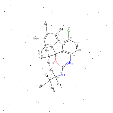 [2H]c1c([2H])c([2H])c(C2(C([2H])([2H])[2H])OC(NC([2H])([2H])C([2H])([2H])[2H])=Nc3ccc(Cl)cc32)c([2H])c1[2H]